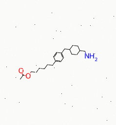 CC(=O)OCCCCCCc1ccc(CC2CCC(CN)CC2)cc1